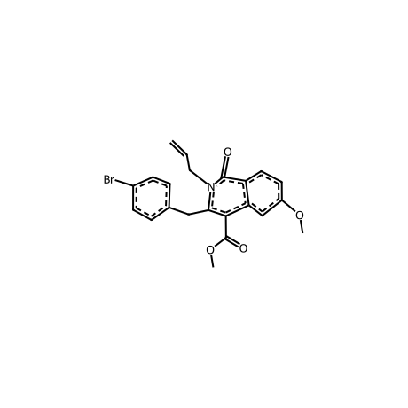 C=CCn1c(Cc2ccc(Br)cc2)c(C(=O)OC)c2cc(OC)ccc2c1=O